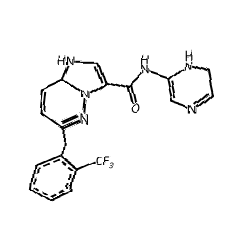 O=C(NC1=CN=CCN1)C1=CNC2C=CC(c3ccccc3C(F)(F)F)=NN12